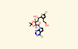 CC1(C)O[C@@H]2[C@@H]([C@@H](O)c3sc(Cl)cc3CCO)OC(n3ccc4c(Cl)ncnc43)[C@@H]2O1